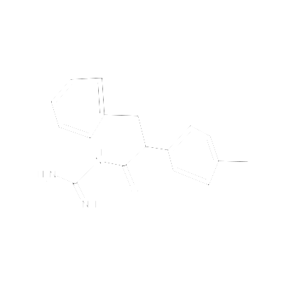 Cc1ccc(C(Cc2ccccc2)C(=O)NC(=N)N)cc1